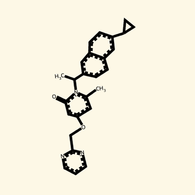 Cc1cc(OCc2ncccn2)cc(=O)n1C(C)c1ccc2cc(C3CC3)ccc2c1